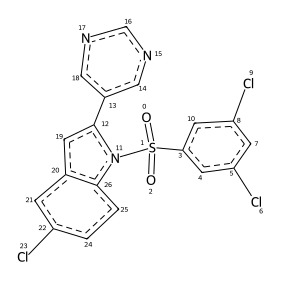 O=S(=O)(c1cc(Cl)cc(Cl)c1)n1c(-c2cncnc2)cc2cc(Cl)ccc21